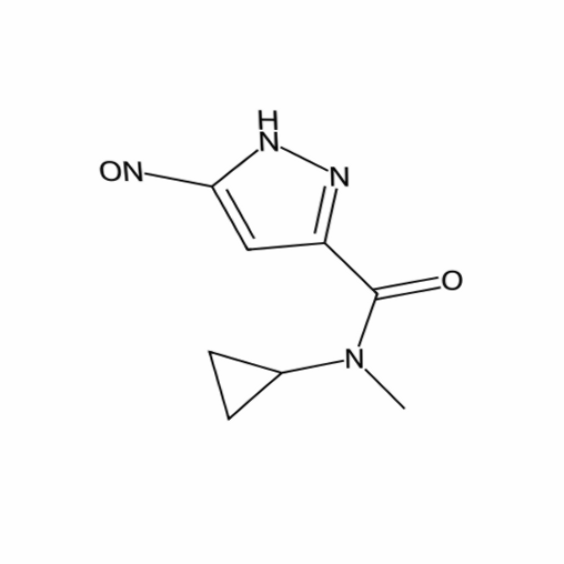 CN(C(=O)c1cc(N=O)[nH]n1)C1CC1